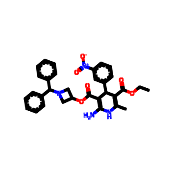 CCOC(=O)C1=C(C)NC(N)=C(C(=O)OC2CN(C(c3ccccc3)c3ccccc3)C2)C1c1cccc([N+](=O)[O-])c1